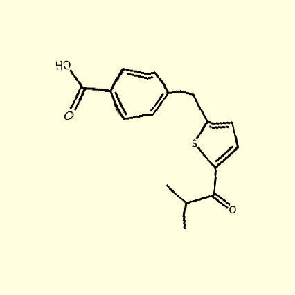 CC(C)C(=O)c1ccc(Cc2ccc(C(=O)O)cc2)s1